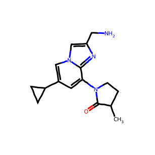 CC1CCN(c2cc(C3CC3)cn3cc(CN)nc23)C1=O